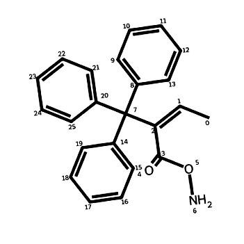 CC=C(C(=O)ON)C(c1ccccc1)(c1ccccc1)c1ccccc1